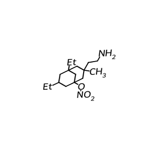 CCC1CC2(CC)CC(C)(CCN)CC(O[N+](=O)[O-])(C1)C2